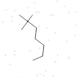 COC(C)(C)CCC[C@@H](C)C=O